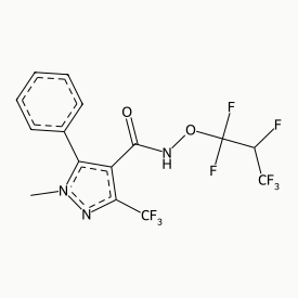 Cn1nc(C(F)(F)F)c(C(=O)NOC(F)(F)C(F)C(F)(F)F)c1-c1ccccc1